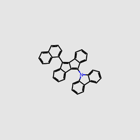 c1ccc2c(c1)C1=C(n3c4ccccc4c4ccccc43)c3ccccc3C1=C2c1cccc2ccccc12